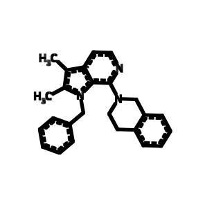 Cc1c(C)n(Cc2ccccc2)c2c(N3CCc4ccccc4C3)nccc12